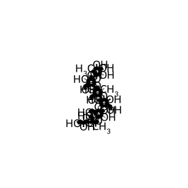 CC1O[C@@H](O[C@H]2C(O)[C@@H](O)C(CO)O[C@H]2OC2[C@@H](O)C(CO)O[C@@H](O[C@@H]3C(O)[C@@H](O[C@H]4C(CO)O[C@@H](O[C@@H](C)C(CO)O[C@@H](O)[C@@H](O)CO)[C@@H](O)C4O)OC(CO)[C@@H]3O)[C@H]2C)[C@@H](O)C(O)[C@@H]1O